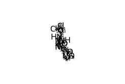 COc1cccnc1C(=O)N1CCC(n2ncc3nc(NCc4ccc(Cl)c(Cl)c4)[nH]c(=O)c32)CC1